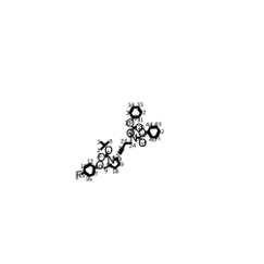 CC(C)(C)OC(=O)N1[C@H](COc2ccc(F)cc2)CC[C@H]1C#CCCN(OC(=O)Oc1ccccc1)C(=O)Oc1ccccc1